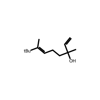 C=CC(C)(O)CC/C=C(\C)C(C)(C)C